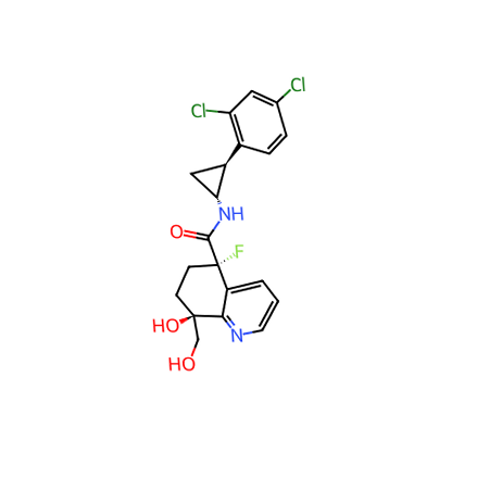 O=C(N[C@@H]1C[C@H]1c1ccc(Cl)cc1Cl)[C@]1(F)CC[C@@](O)(CO)c2ncccc21